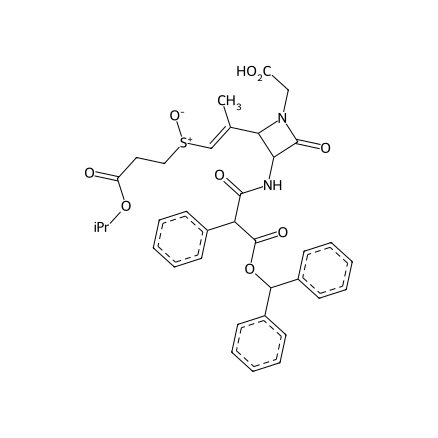 CC(=C[S+]([O-])CCC(=O)OC(C)C)C1C(NC(=O)C(C(=O)OC(c2ccccc2)c2ccccc2)c2ccccc2)C(=O)N1CC(=O)O